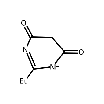 CCC1=NC(=O)CC(=O)N1